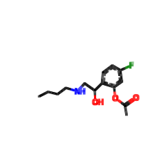 CCCCNCC(O)c1ccc(F)cc1OC(C)=O